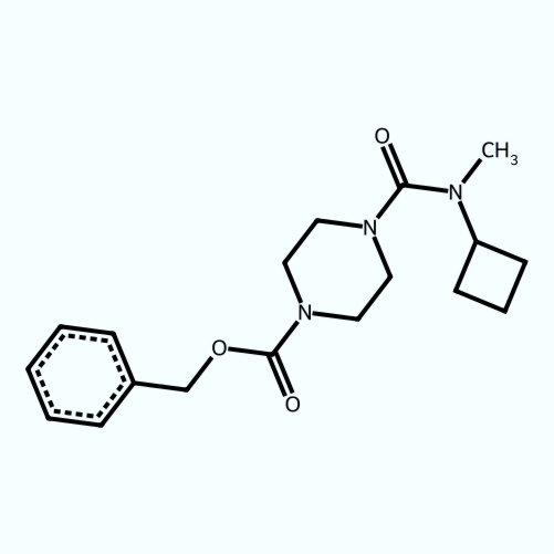 CN(C(=O)N1CCN(C(=O)OCc2ccccc2)CC1)C1CCC1